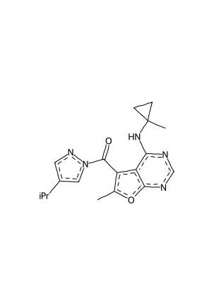 Cc1oc2ncnc(NC3(C)CC3)c2c1C(=O)n1cc(C(C)C)cn1